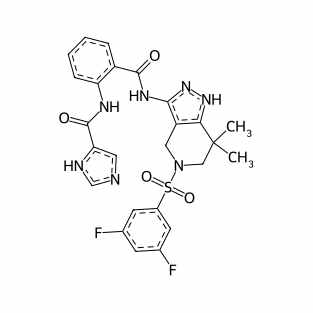 CC1(C)CN(S(=O)(=O)c2cc(F)cc(F)c2)Cc2c(NC(=O)c3ccccc3NC(=O)c3cnc[nH]3)n[nH]c21